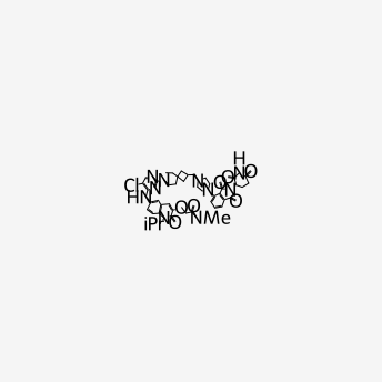 CNC(=O)COc1cc2cc(Nc3nc(N4CCC5(CC4)CC(CN4CCN(c6cccc7c6C(=O)N(C6CCC(=O)NC6=O)C7=O)CC4)C5)ncc3Cl)ccc2n(C(C)C)c1=O